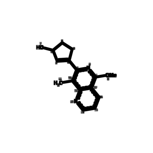 COc1nc(C2=CC(O)CC2)c(C)c2ncccc12